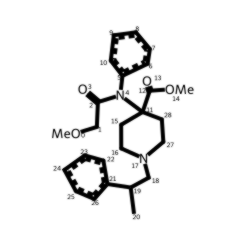 COCC(=O)N(c1ccccc1)C1(C(=O)OC)CCN(CC(C)c2ccccc2)CC1